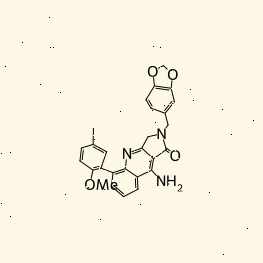 COc1ccc(C)cc1-c1cccc2c(N)c3c(nc12)CN(Cc1ccc2c(c1)OCO2)C3=O